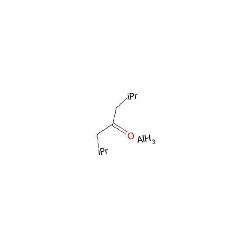 CC(C)CC(=O)CC(C)C.[AlH3]